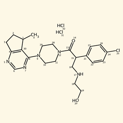 CC1CCc2ncnc(N3CCN(C(=O)C(CNCCO)c4ccc(Cl)cc4)CC3)c21.Cl.Cl